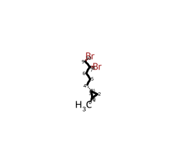 C[C@@H]1C[C@H]1CCCC(Br)CBr